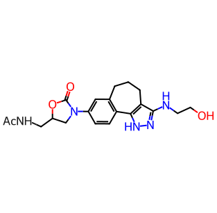 CC(=O)NCC1CN(c2ccc3c(c2)CCCc2c(NCCO)n[nH]c2-3)C(=O)O1